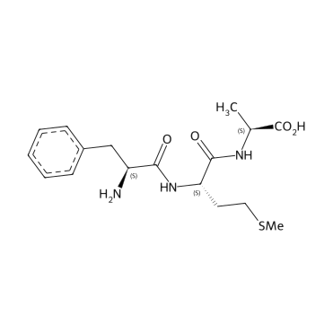 CSCC[C@H](NC(=O)[C@@H](N)Cc1ccccc1)C(=O)N[C@@H](C)C(=O)O